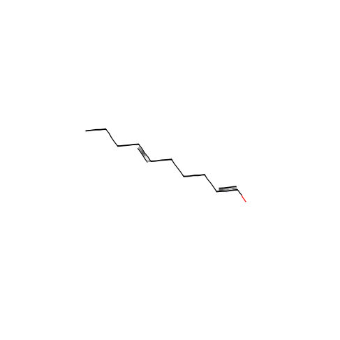 CCC/C=C/CCC/C=C/[O]